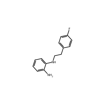 Nc1ccccc1NCCc1ccc(F)cc1